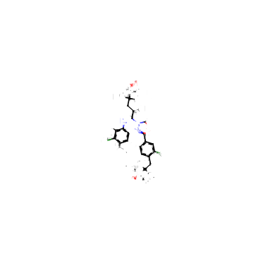 Cc1c(N[C@H]([C@H](C)CC(C)(C)[Si](C)(C)O)N2COC(c3ccc(CC(C)(C)[Si](C)(C)O)c(Cl)c3)=N2)ccc(C#N)c1Cl